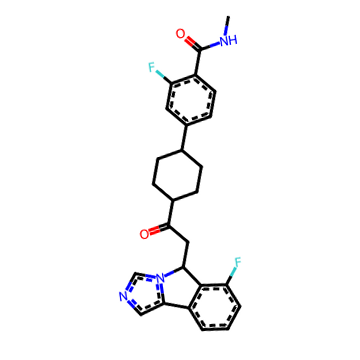 CNC(=O)c1ccc(C2CCC(C(=O)CC3c4c(F)cccc4-c4cncn43)CC2)cc1F